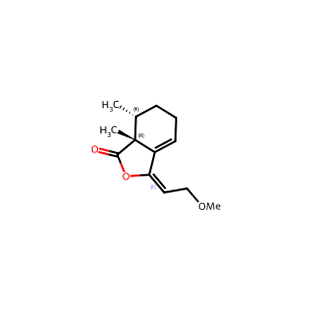 COC/C=C1/OC(=O)[C@@]2(C)C1=CCC[C@H]2C